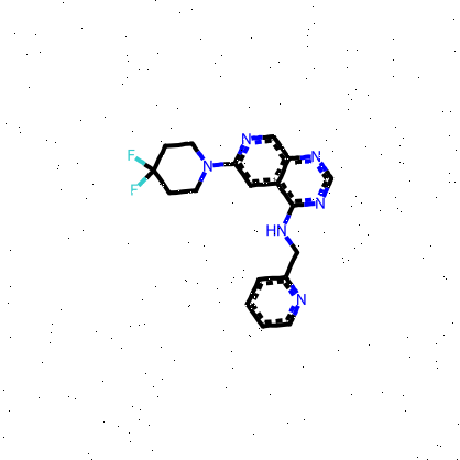 FC1(F)CCN(c2cc3c(NCc4ccccn4)ncnc3cn2)CC1